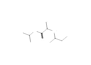 CCC(C)OC(C)C(=O)OC(C)C